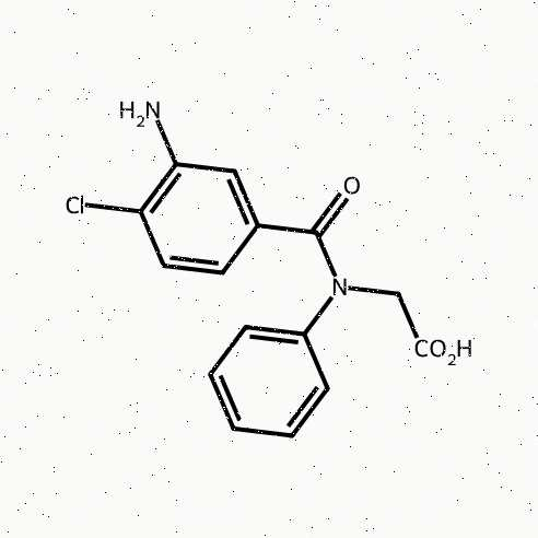 Nc1cc(C(=O)N(CC(=O)O)c2ccccc2)ccc1Cl